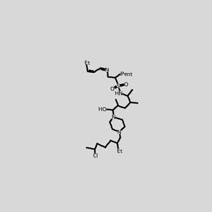 CC/C=C\C=N/CC(C(C)CCC)S(=O)(=O)NC(C)C(C)CC(C)C(O)N1CCN(CC(CC)CCCC(C)Cl)CC1